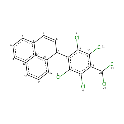 Clc1c(Cl)c(C2C=Cc3cccc4cccc2c34)c(Cl)c(Cl)c1C(Cl)Cl